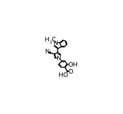 Cn1cc(-c2cn(-c3ccc(C(=O)O)c(O)c3)cc2C#N)c2ccccc21